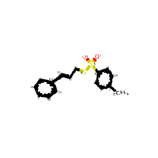 Cc1ccc(S(=O)(=O)SCC=Cc2ccccc2)cc1